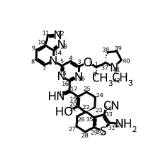 C[C@H](Oc1cc(-n2cccc3cnnc2-3)nc(C(=N)C2=C(O)[C@@]3(CCC2)CCCc2sc(N)c(C#N)c23)n1)[C@@H]1CCCN1C